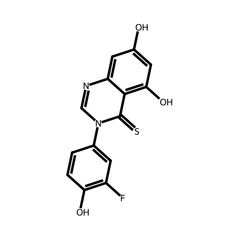 Oc1cc(O)c2c(=S)n(-c3ccc(O)c(F)c3)cnc2c1